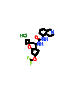 Cl.O=C(Nc1cccc2cnccc12)NC1CC2(CCC2)Oc2cc(OC(F)F)ccc21